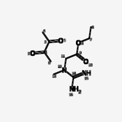 CC(=O)C(C)=O.CCOC(=O)CN(C)C(=N)N